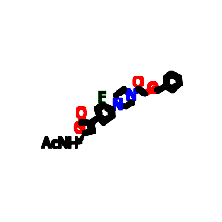 CC(=O)NC[C@H]1C=C(c2ccc(N3CCN(C(=O)COCc4ccccc4)CC3)c(F)c2)C(=O)O1